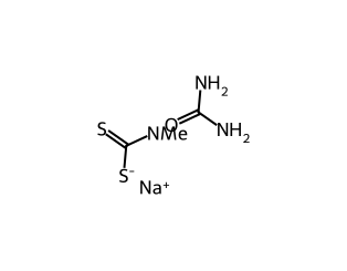 CNC(=S)[S-].NC(N)=O.[Na+]